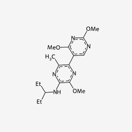 CCC(CC)Nc1nc(C)c(-c2cnc(OC)nc2OC)nc1OC